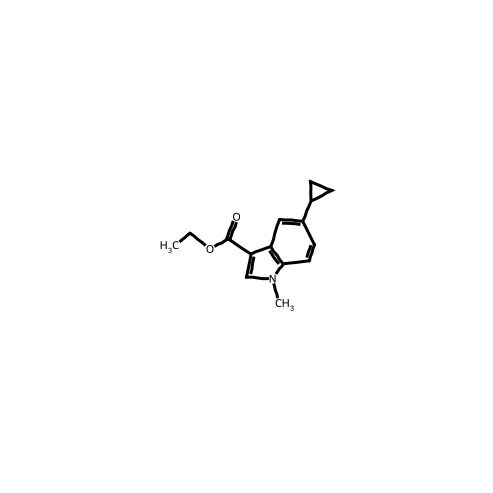 CCOC(=O)c1cn(C)c2ccc(C3CC3)cc12